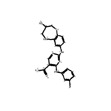 Cc1cccc(Nc2nc(Nc3ccc4c(c3)NCC(O)CO4)ncc2C(N)=O)c1